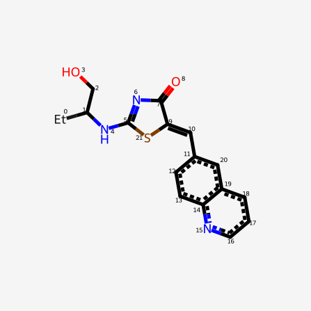 CCC(CO)NC1=NC(=O)/C(=C/c2ccc3ncccc3c2)S1